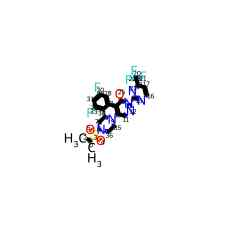 CC(C)S(=O)(=O)N1CCN(c2cnn(-c3nccc(C(F)(F)F)n3)c(=O)c2-c2cc(F)cc(F)c2)CC1